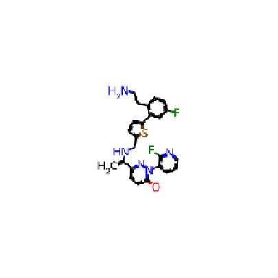 C=C(NCc1ccc(-c2cc(F)ccc2CCN)s1)c1ccc(=O)n(-c2cccnc2F)n1